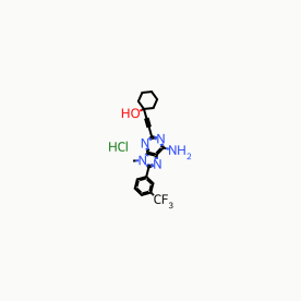 Cl.Cn1c(-c2cccc(C(F)(F)F)c2)nc2c(N)nc(C#CC3(O)CCCCC3)nc21